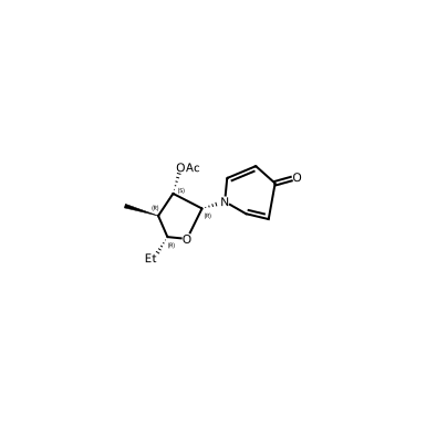 CC[C@H]1O[C@@H](n2ccc(=O)cc2)[C@@H](OC(C)=O)[C@@H]1C